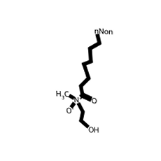 CCCCCCCCCCCCCCCC(=O)[N+](C)([O-])CCO